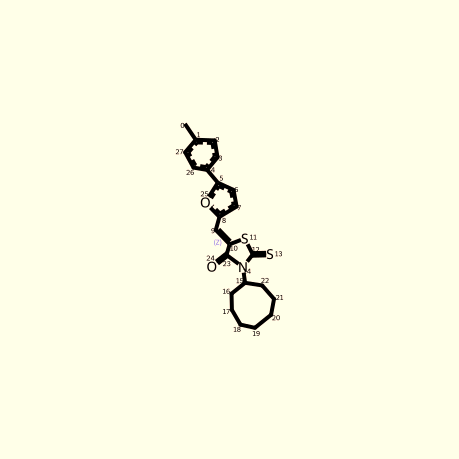 Cc1ccc(-c2ccc(/C=C3\SC(=S)N(C4CCCCCCC4)C3=O)o2)cc1